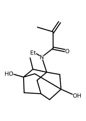 C=C(C)C(=O)N(CC)C12CC3CC(O)(CC(O)(C3)C1C)C2